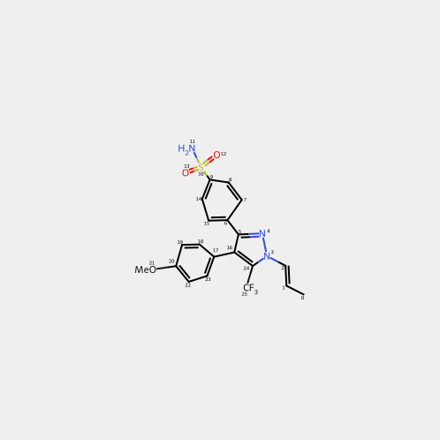 CC=Cn1nc(-c2ccc(S(N)(=O)=O)cc2)c(-c2ccc(OC)cc2)c1C(F)(F)F